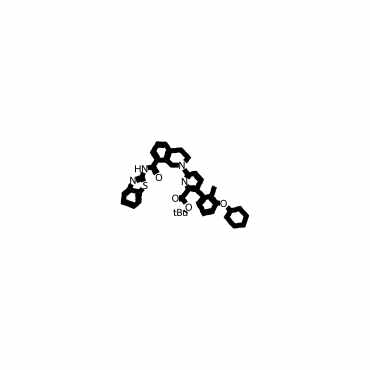 Cc1c(OC2CCCCC2)cccc1-c1ccc(N2CCc3cccc(C(=O)Nc4nc5ccccc5s4)c3C2)nc1C(=O)OC(C)(C)C